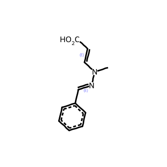 CN(/C=C/C(=O)O)/N=C/c1ccccc1